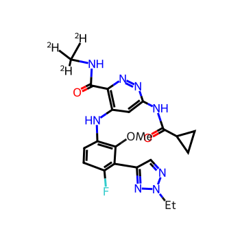 [2H]C([2H])([2H])NC(=O)c1nnc(NC(=O)C2CC2)cc1Nc1ccc(F)c(-c2cnn(CC)n2)c1OC